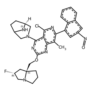 Cc1c(-c2cc(N=O)cc3ccccc23)nc(Cl)c2c(N3CC4CC[C@@H](C3)N4)nc(OC[C@@]34CCCN3C[C@H](F)C4)nc12